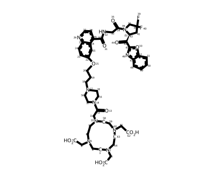 O=C(O)CN1CCN(CC(=O)O)CCN(CC(=O)N2CCN(CCCOc3ccc4nccc(C(=O)NCC(=O)N5CC(F)(F)C[C@H]5C(=O)c5nc6ccccc6o5)c4c3)CC2)CCN(CC(=O)O)CC1